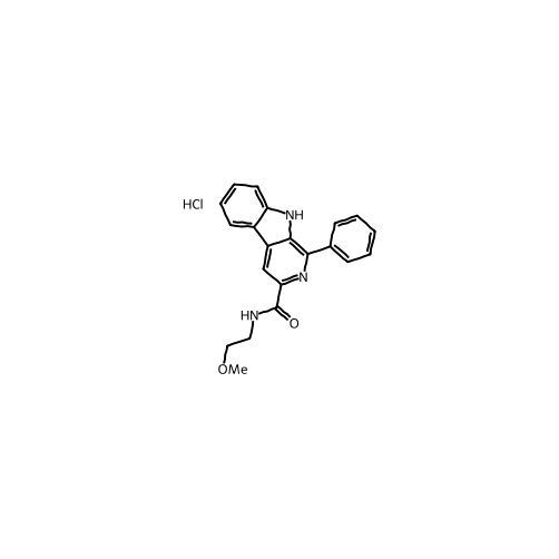 COCCNC(=O)c1cc2c([nH]c3ccccc32)c(-c2ccccc2)n1.Cl